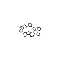 c1ccc(-c2ccccc2-c2nc(-c3cccc(-c4ccc5oc6ccccc6c5c4)c3)nc(-c3cccc4c3sc3ccccc34)n2)cc1